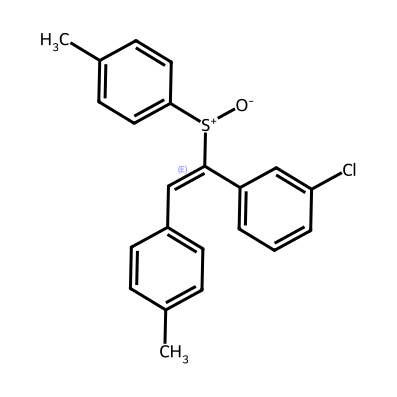 Cc1ccc(/C=C(\c2cccc(Cl)c2)[S+]([O-])c2ccc(C)cc2)cc1